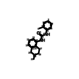 Cc1ccccc1NC(=O)Nc1cccc2c1CCN(C)C2